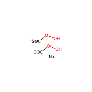 O=C([O-])OO.O=C([O-])OO.[Na+].[Na+]